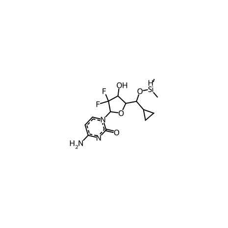 C[SiH](C)OC(C1CC1)C1OC(n2ccc(N)nc2=O)C(F)(F)C1O